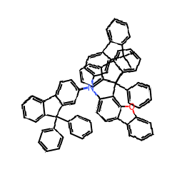 CC1(C)c2ccccc2-c2ccc(N(c3ccc4c(c3)C(c3ccccc3)(c3ccccc3)c3ccccc3-4)c3ccc4c(oc5ccccc54)c3C3(c4ccccc4)c4ccccc4-c4ccccc43)cc21